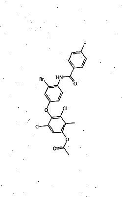 CC(=O)Oc1cc(Cl)c(Oc2ccc(NC(=O)c3ccc(F)cc3)c(Br)c2)c(Cl)c1C